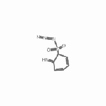 [N-]=[N+]=NS(=O)(=O)C1C=CC=CC1=N